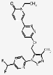 CCn1cc(-c2ccc(OCc3c(C)nnn3-c3ccc(C(F)F)cn3)nn2)ccc1=O